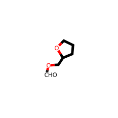 O=COCC1CCCO1